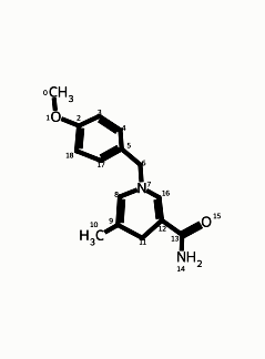 COc1ccc(CN2C=C(C)CC(C(N)=O)=C2)cc1